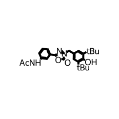 CC(=O)Nc1cccc(-c2nn(Cc3cc(C(C)(C)C)c(O)c(C(C)(C)C)c3)c(=O)o2)c1